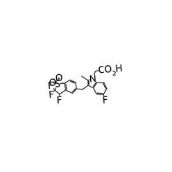 Cc1c(Cc2ccc3c(c2)C(F)C(F)(F)S3(=O)=O)c2cc(F)ccc2n1CC(=O)O